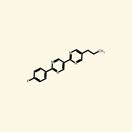 CCCc1cnc(-c2cnc(-c3ccc(F)cc3)nc2)nc1